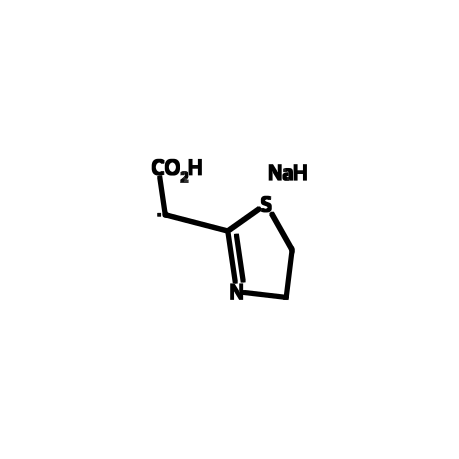 O=C(O)[CH]C1=NCCS1.[NaH]